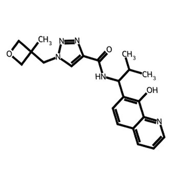 CC(C)C(NC(=O)c1cn(CC2(C)COC2)nn1)c1ccc2cccnc2c1O